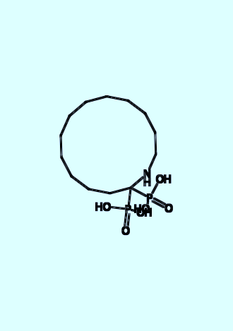 O=P(O)(O)C1(P(=O)(O)O)CCCCCCCCCCCCN1